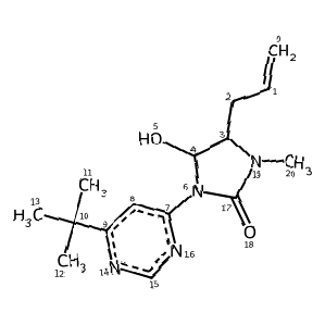 C=CCC1C(O)N(c2cc(C(C)(C)C)ncn2)C(=O)N1C